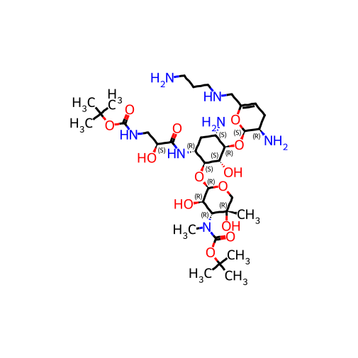 CN(C(=O)OC(C)(C)C)[C@@H]1[C@@H](O)[C@@H](O[C@@H]2[C@@H](O)[C@H](O[C@H]3OC(CNCCCN)=CC[C@H]3N)[C@@H](N)C[C@H]2NC(=O)[C@@H](O)CNC(=O)OC(C)(C)C)OC[C@]1(C)O